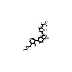 CCNCc1cncc(-c2ccc3[nH]nc(-c4ncc(C(=O)N(C)C)[nH]4)c3c2)c1C